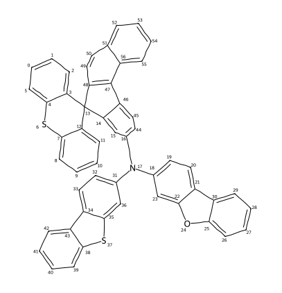 c1ccc2c(c1)Sc1ccccc1C21c2cc(N(c3ccc4c(c3)oc3ccccc34)c3ccc4c(c3)sc3ccccc34)ccc2-c2c1ccc1ccccc21